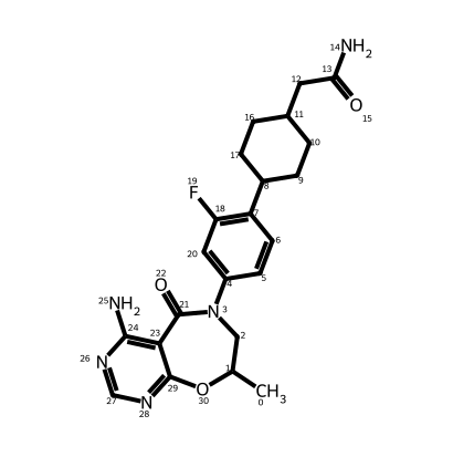 CC1CN(c2ccc(C3CCC(CC(N)=O)CC3)c(F)c2)C(=O)c2c(N)ncnc2O1